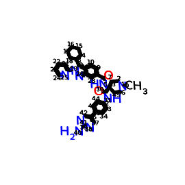 CN1CCC(NC(=O)c2ccc3c(C4CCCCC4)n(-c4ccccn4)nc3c2)(C(=O)Nc2ccc(-c3cnc(N)nc3)cc2)CC1